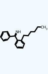 CCCCCCc1ccccc1C(=N)c1ccccc1